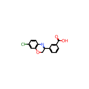 O=C(O)c1cccc(C2=Nc3ccc(Cl)cc3OC2)c1